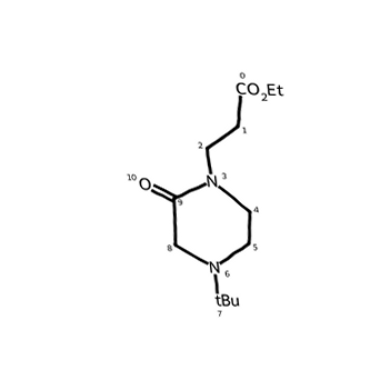 CCOC(=O)CCN1CCN(C(C)(C)C)CC1=O